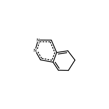 C1=c2cnncc2=CCC1